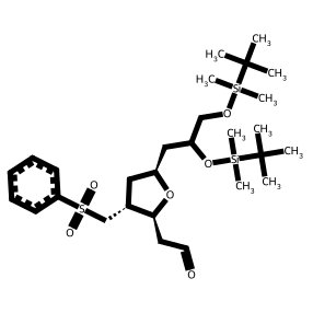 CC(C)(C)[Si](C)(C)OCC(C[C@@H]1C[C@@H](CS(=O)(=O)c2ccccc2)[C@H](CC=O)O1)O[Si](C)(C)C(C)(C)C